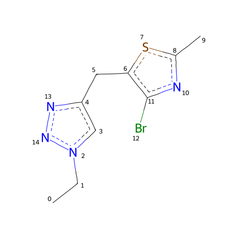 CCn1cc(Cc2sc(C)nc2Br)nn1